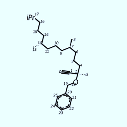 C#C[C@@](C)(CCC[C@H](C)CCC[C@H](C)CCCC(C)C)OCc1ccccc1